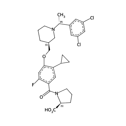 C[C@H](c1cc(Cl)cc(Cl)c1)N1CCC[C@H](COc2cc(F)c(C(=O)N3CCC[C@H]3C(=O)O)cc2C2CC2)C1